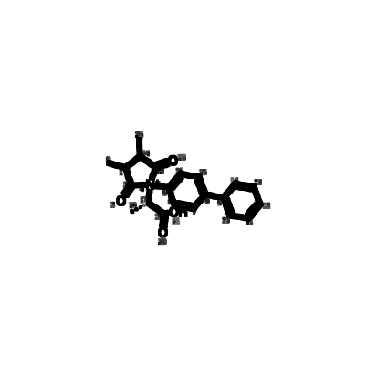 CC1C(=O)[N+](c2ccc(-c3ccccc3)cc2)([C@@H](C)C(=O)O)C(=O)C1C